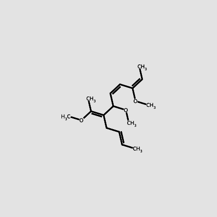 C/C=C/C/C(=C(/C)OC)C(/C=C\C(=C/C)OC)OC